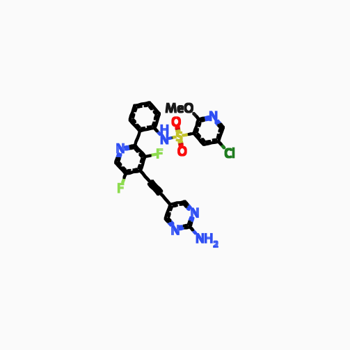 COc1ncc(Cl)cc1S(=O)(=O)Nc1ccccc1-c1ncc(F)c(C#Cc2cnc(N)nc2)c1F